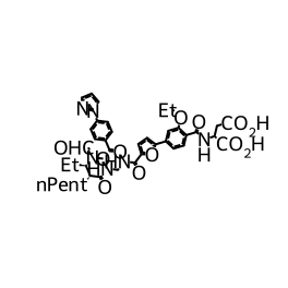 CCCCC[C@@H](C(=O)NCNC(=O)c1ccc(-c2ccc(C(=O)N[C@@H](CC(=O)O)C(=O)O)c(OCC)c2)o1)[C@@H](CC)N(C=O)OC(=O)c1ccc(-n2cccn2)cc1